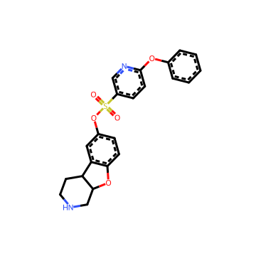 O=S(=O)(Oc1ccc2c(c1)C1CCNCC1O2)c1ccc(Oc2ccccc2)nc1